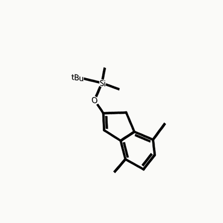 Cc1ccc(C)c2c1C=C(O[Si](C)(C)C(C)(C)C)C2